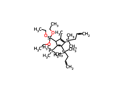 C=CC[Si](C)(C)C1=C(C)C([Si](OCC)(OCC)OCC)[C]([Pt]([CH3])([CH3])[CH3])=C1[Si](C)(C)CC=C